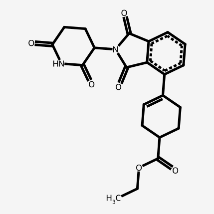 CCOC(=O)C1CC=C(c2cccc3c2C(=O)N(C2CCC(=O)NC2=O)C3=O)CC1